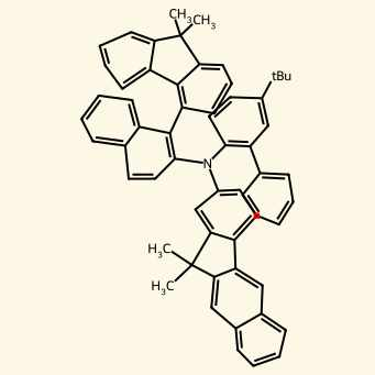 CC(C)(C)c1ccc(N(c2ccc3c(c2)C(C)(C)c2cc4ccccc4cc2-3)c2ccc3ccccc3c2-c2cccc3c2-c2ccccc2C3(C)C)c(-c2ccccc2)c1